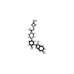 O=C(CN1CC(O)C1)N1CCN(c2ccc(Cl)c(-c3nc4cc(Cl)ccc4[nH]3)c2)CC1